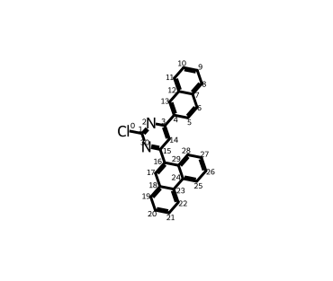 Clc1nc(-c2ccc3ccccc3c2)cc(-c2cc3ccccc3c3ccccc23)n1